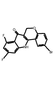 O=c1c2c([nH]c3cc(F)cc(F)c13)-c1cc(Br)ccc1OC2